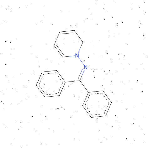 C1=CCN(N=C(c2ccccc2)c2ccccc2)C=C1